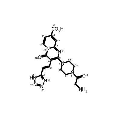 NCC(=O)N1CCN(c2nc3cc(C(=O)O)ccn3c(=O)c2C=Cc2nnn[nH]2)CC1